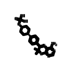 CC1(C)Oc2ncnc(N)c2N=C1c1ccc([C@H]2CC[C@H](OP(=O)(O)O)CC2)cc1